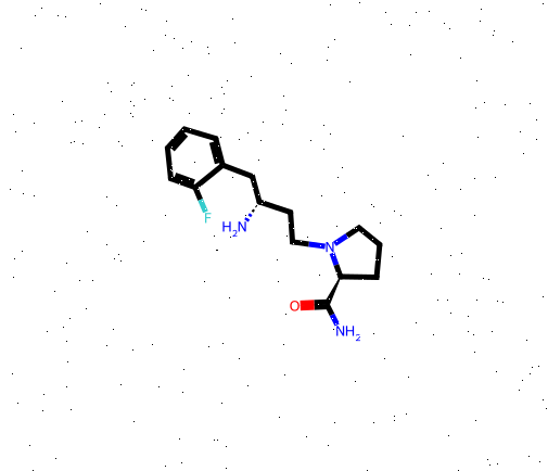 NC(=O)[C@@H]1CCCN1CC[C@H](N)Cc1ccccc1F